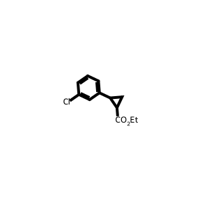 CCOC(=O)C1CC1c1cccc(Cl)c1